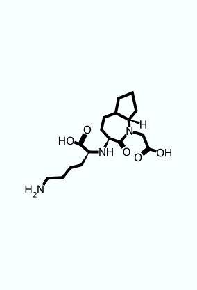 NCCCC[C@H](N[C@H]1CCC2CCC[C@@H]2N(CC(=O)O)C1=O)C(=O)O